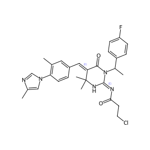 Cc1cn(-c2ccc(/C=C3/C(=O)N(C(C)c4ccc(F)cc4)/C(=N/C(=O)CCCl)NC3(C)C)cc2C)cn1